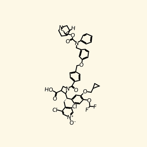 O=C(O)C1CN(C(=O)c2ccc(COc3cccc(CN(C(=O)O[C@H]4CN5CCC4CC5)c4ccccc4)c3)cc2)C1[C@@H](Cc1c(Cl)c[n+]([O-])cc1Cl)c1ccc(OC(F)F)c(OCC2CC2)c1